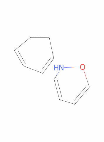 C1=CCCC=C1.C1=CNOC=C1